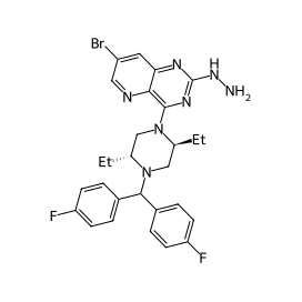 CC[C@H]1CN(C(c2ccc(F)cc2)c2ccc(F)cc2)[C@H](CC)CN1c1nc(NN)nc2cc(Br)cnc12